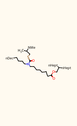 CCCCCCCCCCCCCCN(CCCCCCCC(=O)OCC(CCCCCCC)CCCCCCC)C(=O)SCC(C)NC